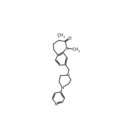 C[C@H]1CCc2ccc(CN3CCN(c4ccncc4)CC3)cc2N(C)C1=O